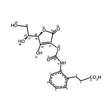 O=C(O)CCc1ccccc1NC(=O)OC1=C(O)[C@@H]([C@@H](O)CO)OC1=O